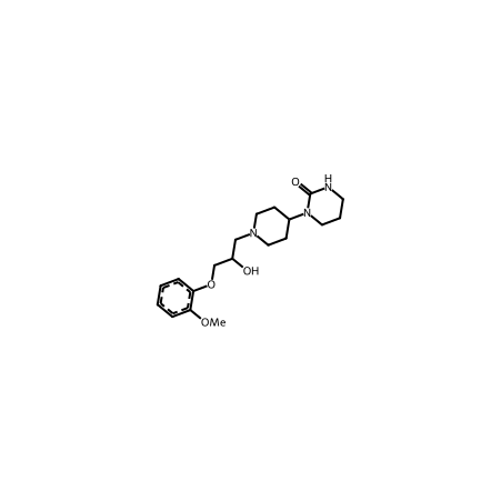 COc1ccccc1OCC(O)CN1CCC(N2CCCNC2=O)CC1